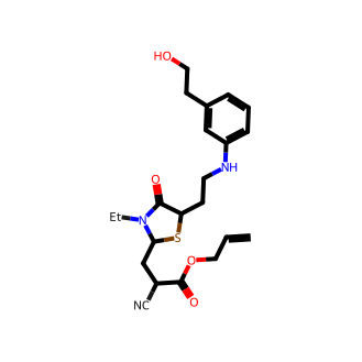 C=CCOC(=O)C(C#N)CC1SC(CCNc2cccc(CCO)c2)C(=O)N1CC